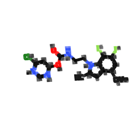 COc1cc(F)c(F)c2c1cc(C#N)n2CCNC(=O)Oc1cc(Cl)ncn1